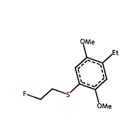 CCc1cc(OC)c(SCCF)cc1OC